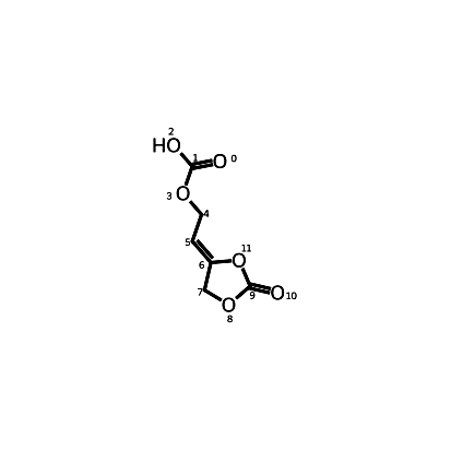 O=C(O)OCC=C1COC(=O)O1